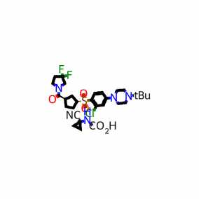 CC(C)(C)N1CCN(c2ccc(S(=O)(=O)[C@@H]3CC[C@@H](C(=O)N4CCC(F)(F)C4)C3)c(Cl)c2)CC1.N#CC1(NC(=O)O)CC1